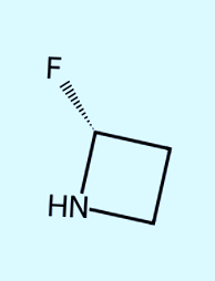 F[C@@H]1CCN1